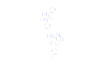 COc1ccc(-c2oc3ncnc(NCCc4ccc(NC(=O)Nc5ccccc5)cc4)c3c2Cl)cc1